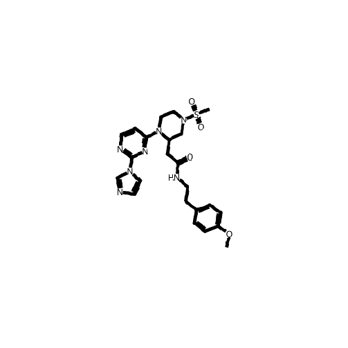 COc1ccc(CCNC(=O)CC2CN(S(C)(=O)=O)CCN2c2ccnc(-n3ccnc3)n2)cc1